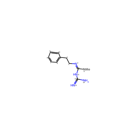 CNC(=NCCc1ccccc1)NC(=N)N